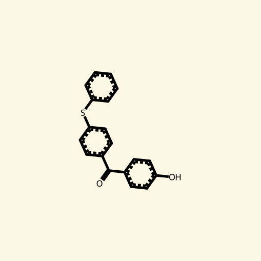 O=C(c1ccc(O)cc1)c1ccc(Sc2ccccc2)cc1